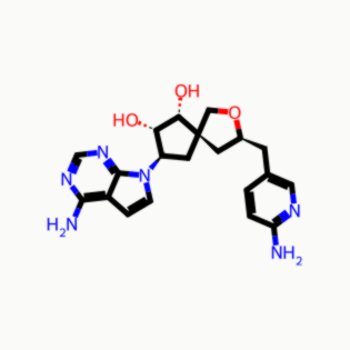 Nc1ccc(C[C@H]2C[C@@]3(CO2)C[C@@H](n2ccc4c(N)ncnc42)[C@H](O)[C@@H]3O)cn1